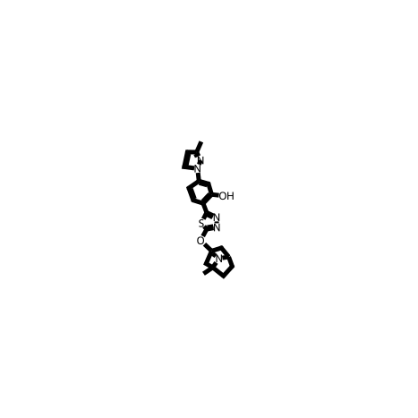 Cc1ccn(-c2ccc(-c3nnc(OC4CC5CCC(C)(C4)N5C)s3)c(O)c2)n1